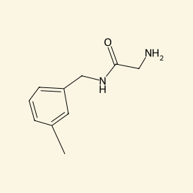 Cc1cccc(CNC(=O)CN)c1